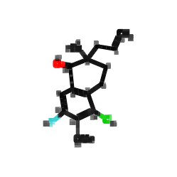 C=CCC1(CCCC)CCc2c(cc(F)c(OC)c2Cl)C1=O